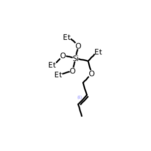 C/C=C/COC(CC)[Si](OCC)(OCC)OCC